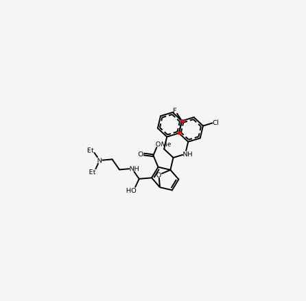 CCN(CC)CCNC(O)C1=C(C(=O)OC)C2(C(Cc3ccccc3)Nc3cc(F)cc(Cl)c3)C=CC1O2